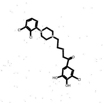 O=C(CCCCN1CCN(c2cccc(Cl)c2Cl)CC1)c1cc(O)c(O)c(Cl)c1